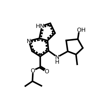 CC(C)OC(=O)c1cnc2[nH]ccc2c1NC1CC(O)CC1C